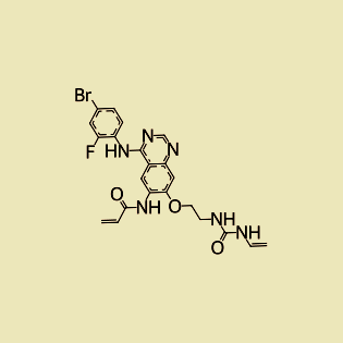 C=CNC(=O)NCCOc1cc2ncnc(Nc3ccc(Br)cc3F)c2cc1NC(=O)C=C